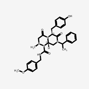 COc1ccc(CNC(=O)N2[C@H]3CN(C(C)c4ccccc4)C(=O)[C@H](Cc4ccc(O)cc4)N3C(=O)CN2C)cc1